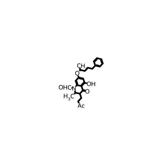 CC(=O)CCC1C(=O)c2c(O)cc(OC(C)CCCc3ccccc3)cc2N(C=O)C1C